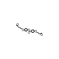 O=C(Oc1ccc(OCCCCC2CO2)cc1)c1ccc(OCCCC2CO2)cc1